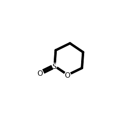 O=S1CCCCO1